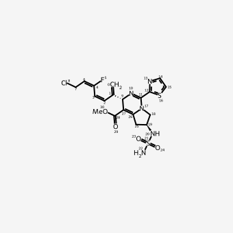 C=C(/C=C\C(F)=C/CCl)[C@@H]1N=C(c2nccs2)N2C[C@@H](NS(N)(=O)=O)CC2=C1C(=O)OC